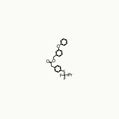 CC(C)C(F)(F)Sc1ccc(CC(=O)OCc2cccc(Oc3ccccc3)c2)cc1